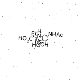 CCC(C(=O)O)C1=NS(O)(O)c2ccc(NC(C)=O)cc2N1